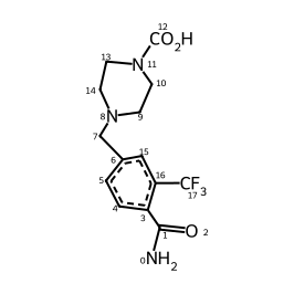 NC(=O)c1ccc(CN2CCN(C(=O)O)CC2)cc1C(F)(F)F